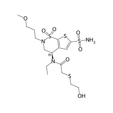 CCN(C(=O)CSCCO)[C@H]1CN(CCCOC)S(=O)(=O)c2sc(S(N)(=O)=O)cc21